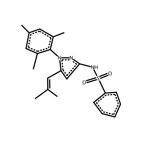 CC(C)=Cc1cc(NS(=O)(=O)c2ccccc2)nn1-c1c(C)cc(C)cc1C